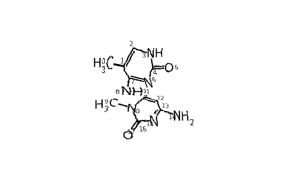 Cc1c[nH]c(=O)nc1N.Cn1ccc(N)nc1=O